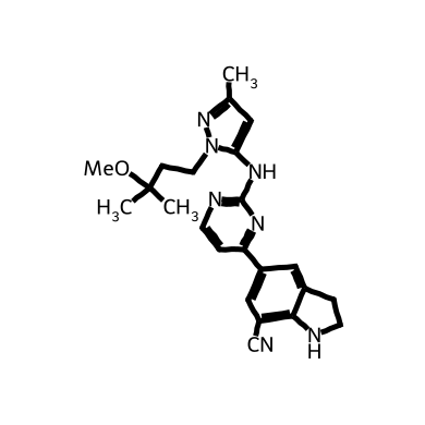 COC(C)(C)CCn1nc(C)cc1Nc1nccc(-c2cc(C#N)c3c(c2)CCN3)n1